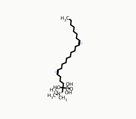 CCCCCCC/C=C\CCCCCCCC/C=C\CCCC(O)(C[N+](C)(C)C)P(=O)(O)O